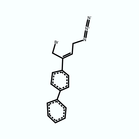 [N-]=[N+]=NCC=C(CBr)c1ccc(-c2ccccc2)cc1